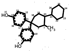 CC1CC(c2ccc(O)cc2)(c2ccc(O)cc2)CCC1C1CCCCC1